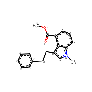 COC(=O)c1cccc2c1c(CCc1ccccc1)cn2C